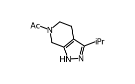 CC(=O)N1CCc2c(C(C)C)n[nH]c2C1